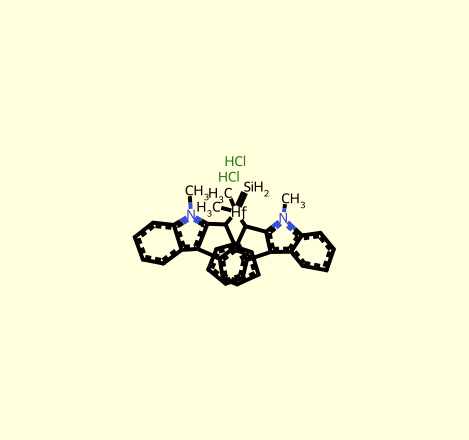 Cl.Cl.Cn1c2c(c3ccccc31)-c1ccccc1[CH]2[Hf]([CH3])([CH3])(=[SiH2])[CH]1c2ccccc2-c2c1n(C)c1ccccc21